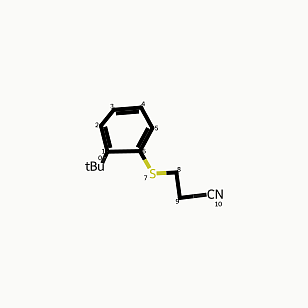 CC(C)(C)c1ccccc1SCCC#N